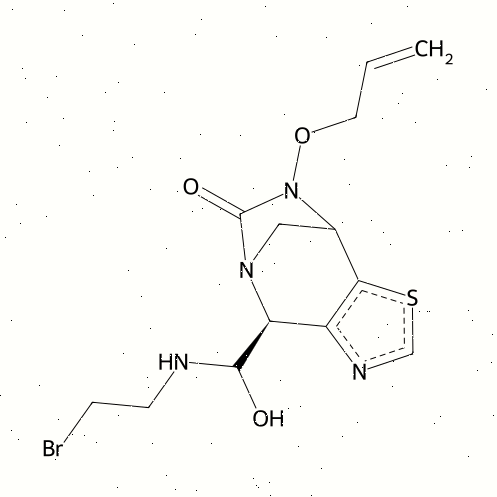 C=CCON1C(=O)N2CC1c1scnc1[C@H]2C(O)NCCBr